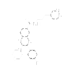 O=C(NCCCc1ccnnc1)c1ccc2nc(N3CCOCC3)c(-c3ccc(F)cc3)nc2c1